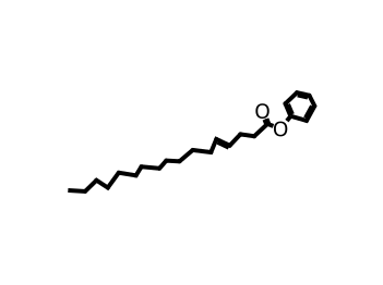 CCCCCCCCCCCCC=CCCC(=O)Oc1ccccc1